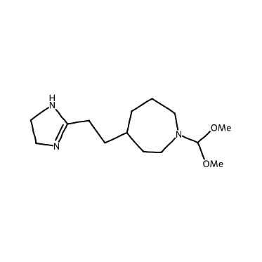 COC(OC)N1CCCC(CCC2=NCCN2)CC1